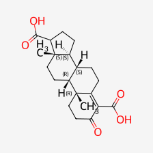 C[C@]12CCC(=O)C(C(=O)O)=C1CC[C@@H]1[C@H]2CC[C@]2(C)C(C(=O)O)CC[C@@H]12